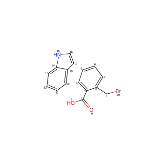 O=C(O)c1ccccc1CBr.c1ccc2[nH]ccc2c1